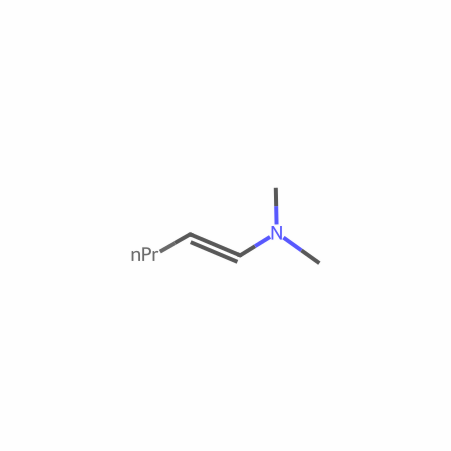 CCCC=CN(C)C